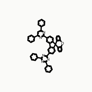 c1ccc(-c2cc(-c3ccccc3)nc(-c3ccc4c(c3)-c3cc(-c5nc(-c6ccccc6)nc(-c6ccccc6)n5)ccc3C43c4ccccc4Oc4ccccc43)n2)cc1